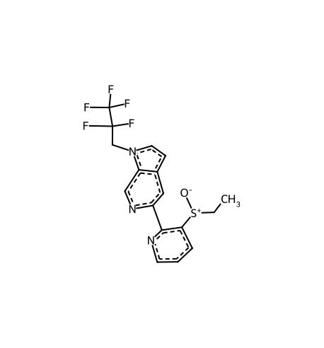 CC[S+]([O-])c1cccnc1-c1cc2ccn(CC(F)(F)C(F)(F)F)c2cn1